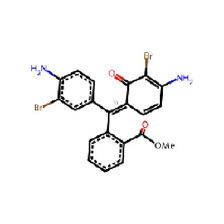 COC(=O)c1ccccc1/C(=C1\C=CC(N)=C(Br)C1=O)c1ccc(N)c(Br)c1